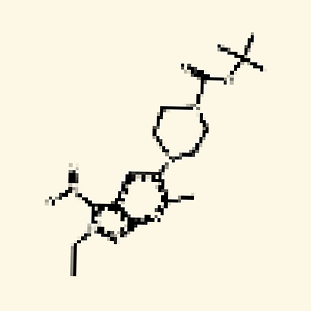 CCn1nc2nc(C)c(N3CCN(C(=O)OC(C)(C)C)CC3)cc2c1[N+](=O)[O-]